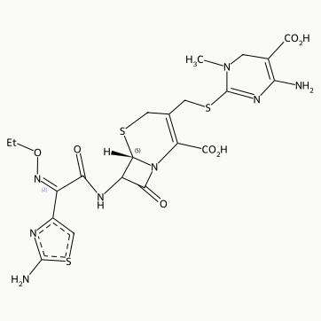 CCO/N=C(\C(=O)NC1C(=O)N2C(C(=O)O)=C(CSC3=NC(N)=C(C(=O)O)CN3C)CS[C@@H]12)c1csc(N)n1